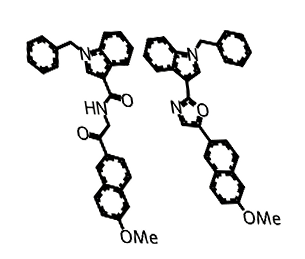 COc1ccc2cc(-c3cnc(-c4cn(Cc5ccccc5)c5ccccc45)o3)ccc2c1.COc1ccc2cc(C(=O)CNC(=O)c3cn(Cc4ccccc4)c4ccccc34)ccc2c1